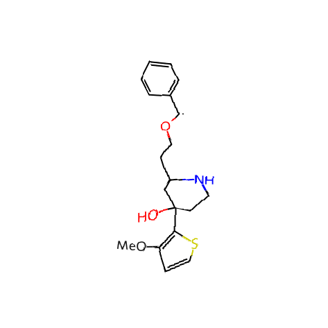 COc1ccsc1C1(O)CCNC(CCO[CH]c2ccccc2)C1